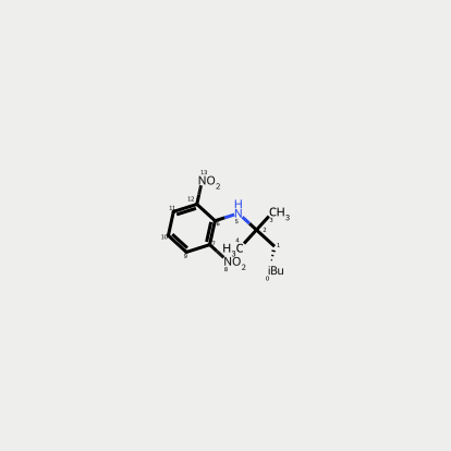 CC[C@@H](C)CC(C)(C)Nc1c([N+](=O)[O-])cccc1[N+](=O)[O-]